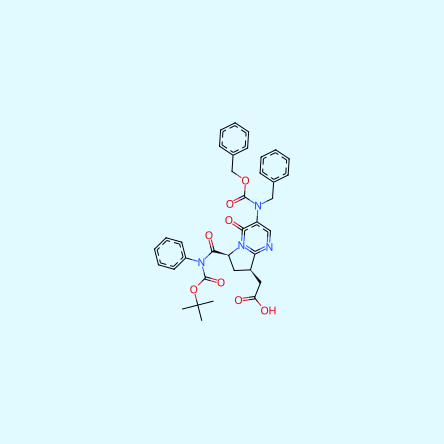 CC(C)(C)OC(=O)N(C(=O)[C@@H]1C[C@H](CC(=O)O)c2ncc(N(Cc3ccccc3)C(=O)OCc3ccccc3)c(=O)n21)c1ccccc1